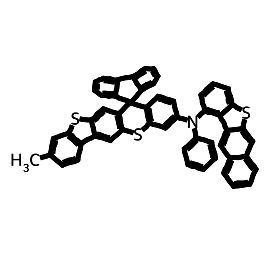 Cc1ccc2c(c1)sc1cc3c(cc12)Sc1cc(N(c2ccccc2)c2cccc4sc5cc6ccccc6cc5c24)ccc1C31c2ccccc2-c2ccccc21